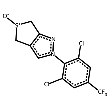 [O-][S+]1Cc2cn(-c3c(Cl)cc(C(F)(F)F)cc3Cl)nc2C1